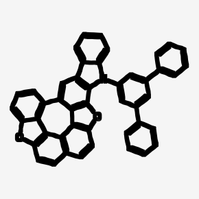 c1ccc(-c2cc(-c3ccccc3)cc(-n3c4ccccc4c4cc5c6c(oc7ccc8ccc9oc%10cccc-5c%10c9c8c76)c43)c2)cc1